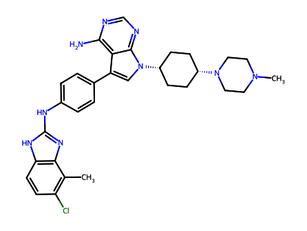 Cc1c(Cl)ccc2[nH]c(Nc3ccc(-c4cn([C@H]5CC[C@@H](N6CCN(C)CC6)CC5)c5ncnc(N)c45)cc3)nc12